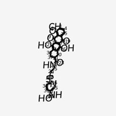 COc1cccc2c1C(=O)c1c(O)c3c(c(O)c1C2=O)CC(C(=O)NCCSSc1ccc(NO)cn1)CC3